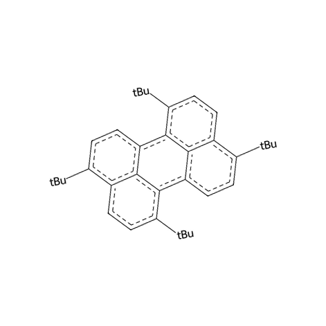 CC(C)(C)c1ccc2c3c(C(C)(C)C)ccc4c(C(C)(C)C)ccc(c5c(C(C)(C)C)ccc1c25)c43